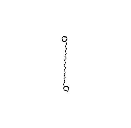 c1ccc(CCCCCCCCCCCCCCCCCCc2ccccc2)cc1